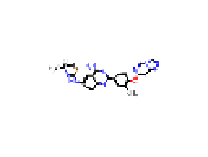 Cc1cc(-c2nc(N)c3cc(NC4=NC(C)(C)CS4)ccc3n2)ccc1Oc1cc2nncn2cn1